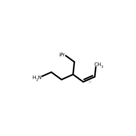 C/C=C\C(CCN)CC(C)C